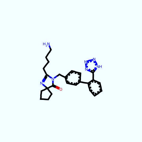 NCCCCC1=NC2(CCCC2)C(=O)N1Cc1ccc(-c2ccccc2-c2nnn[nH]2)cc1